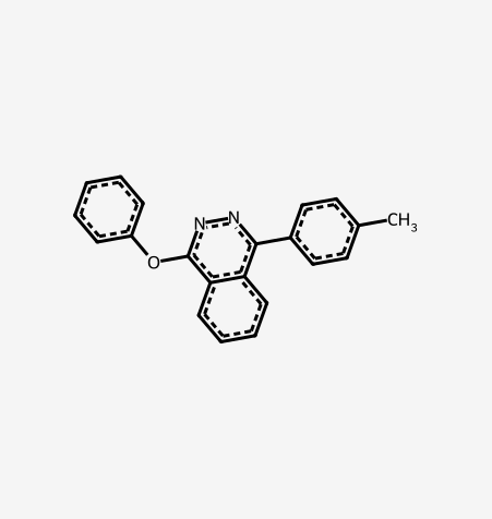 Cc1ccc(-c2nnc(Oc3ccccc3)c3ccccc23)cc1